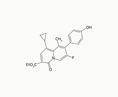 CCOC(=O)c1cc(C2CC2)c2c(C)c(-c3ccc(O)cc3)c(F)cn2c1=O